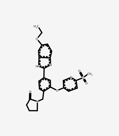 CCOc1ccc2nc(-c3ccc(CN4CCCC4=O)c(Oc4ccc(S(C)(=O)=O)nc4)c3)[nH]c2c1